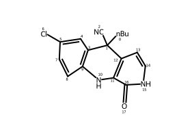 CCCCC1(C#N)c2cc(Cl)ccc2Nc2c1cc[nH]c2=O